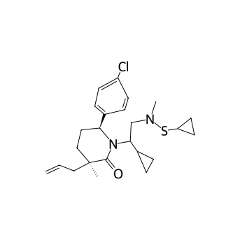 C=CC[C@@]1(C)CC[C@@H](c2ccc(Cl)cc2)N(C(CN(C)SC2CC2)C2CC2)C1=O